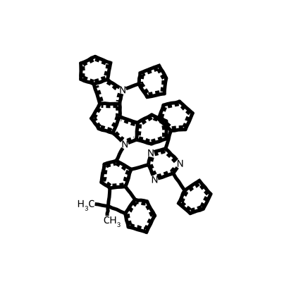 CC1(C)c2ccccc2-c2c1ccc(-n1c3ccccc3c3c1ccc1c4ccccc4n(-c4ccccc4)c13)c2-c1nc(-c2ccccc2)nc(-c2ccccc2)n1